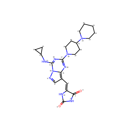 O=C1NC(=O)/C(=C/c2cnn3c(NC4CC4)nc(N4CCC(N5CCCCC5)CC4)nc23)N1